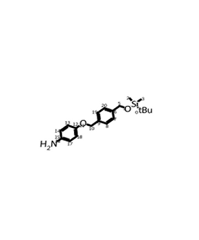 CC(C)(C)[Si](C)(C)OCc1ccc(COc2ccc(N)cc2)cc1